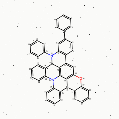 c1ccc(-c2ccc3c(c2)N(c2ccccc2)B2c4ccccc4N4c5ccccc5B5c6ccccc6Oc6cc-3c2c4c65)cc1